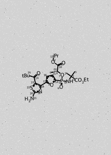 CCOC(=O)C(C)(C)NP(=O)(O[C@@H](C)C(=O)OC(C)C)c1ccc(-c2nc(N)sc2C(=O)C(C)(C)C)o1